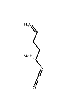 C=CCCCN=C=O.[MgH2]